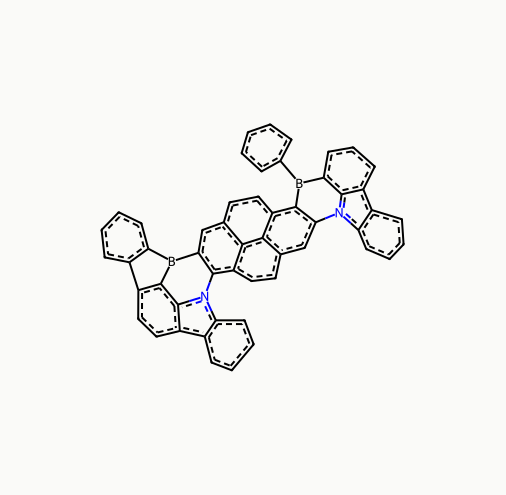 c1ccc(B2c3c(cc4ccc5c6c(cc7ccc3c4c75)B3c4ccccc4-c4ccc5c7ccccc7n-6c5c43)-n3c4ccccc4c4cccc2c43)cc1